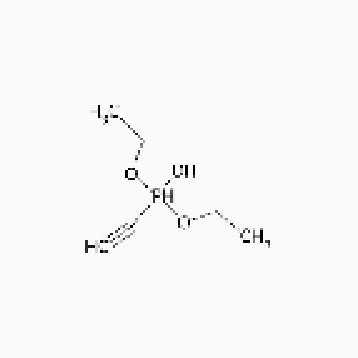 C#C[PH](O)(OCC)OCC